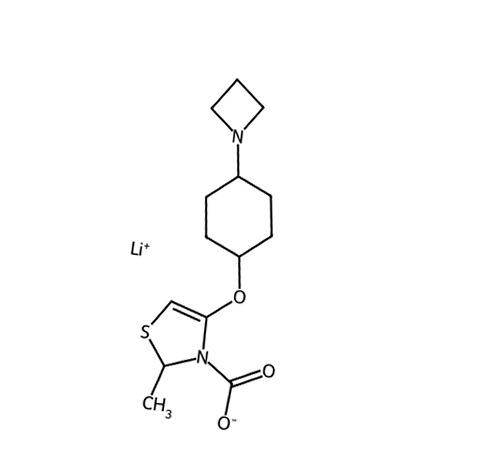 CC1SC=C(OC2CCC(N3CCC3)CC2)N1C(=O)[O-].[Li+]